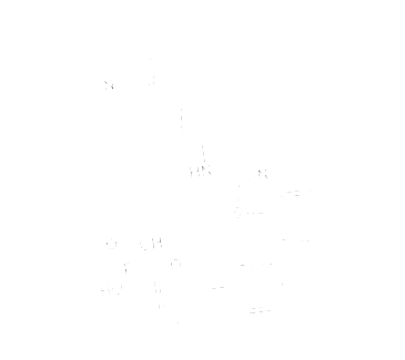 O=P(O)(O)c1ccc(-c2cccc(-c3cccc4nc(NC5CCCC(c6cccnc6)C5)sc34)c2)o1